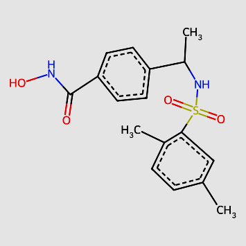 Cc1ccc(C)c(S(=O)(=O)NC(C)c2ccc(C(=O)NO)cc2)c1